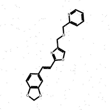 C(=Cc1nc(COCc2ccccn2)co1)c1ccc2c(c1)OCO2